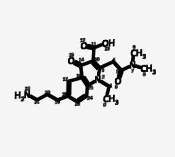 CCn1c(CC(=O)N(C)C)c(C(=O)O)c(=O)c2cc(CCCN)ccc21